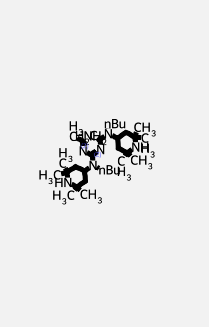 C=C(/N=C(\N=C(\C)N)N(CCCC)C1CC(C)(C)NC(C)(C)C1)N(CCCC)C1CC(C)(C)NC(C)(C)C1